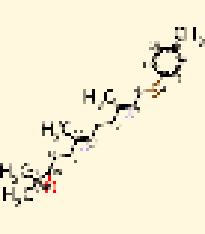 C/C(=C\CSc1ccc(C)cc1)CC/C=C(\C)CCC1OC1(C)C